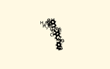 COC(=O)C(Cc1cccc(S(C)(=O)=O)c1)NC(=O)c1c(Cl)cc2c(c1Cl)CCN(C(=O)c1ccc3ccoc3c1)C2